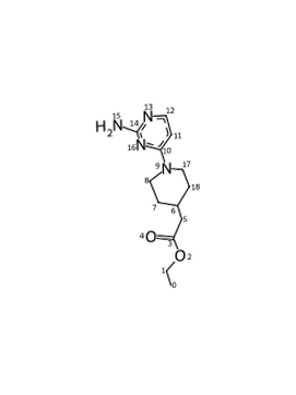 CCOC(=O)CC1CCN(c2ccnc(N)n2)CC1